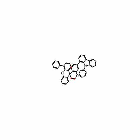 c1ccc(-c2cccc3c2Oc2ccccc2C32c3ccccc3Oc3cc(-c4cccc5c6ccccc6n(-c6ccccc6)c45)ccc32)cc1